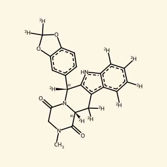 [2H]c1c([2H])c([2H])c2c3c([nH]c2c1[2H])[C@@]([2H])(c1ccc2c(c1)OC([2H])([2H])O2)N1C(=O)CN(C)C(=O)[C@@]1([2H])C3([2H])[2H]